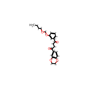 CCCCOCOc1cccc(C(=O)CCC(=O)c2ccc3c(c2)OCCO3)c1